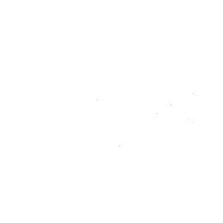 Cc1c(C(=O)Nc2ccc(F)c(C3(C)CC(=O)N(C)C(N)=N3)c2)oc2ccccc12